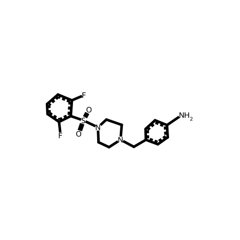 Nc1ccc(CN2CCN(S(=O)(=O)c3c(F)cccc3F)CC2)cc1